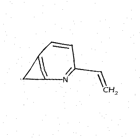 C=Cc1ccc2c(n1)[CH]2